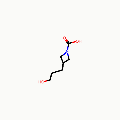 O=C(O)N1CC(CCCO)C1